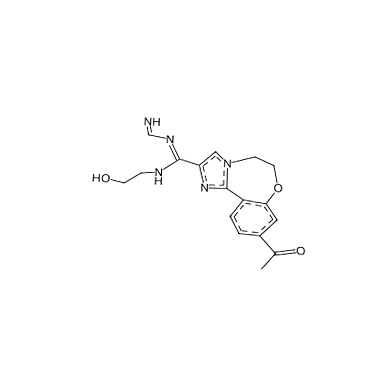 CC(=O)c1ccc2c(c1)OCCn1cc(/C(=N/C=N)NCCO)nc1-2